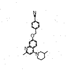 Cc1cc(N2CCCC(C)C2)c2ccc(OCc3ccc(C#N)cc3)cc2n1